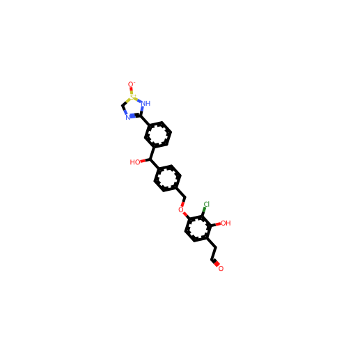 O=CCc1ccc(OCc2ccc(C(O)c3cccc(C4=NC[S+]([O-])N4)c3)cc2)c(Cl)c1O